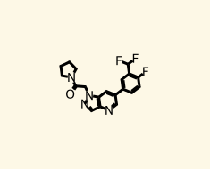 O=C(Cn1ncc2ncc(-c3ccc(F)c(C(F)F)c3)cc21)N1CCCC1